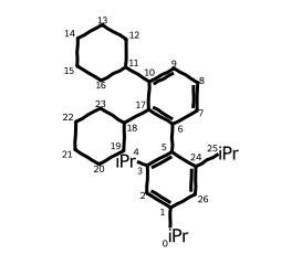 CC(C)c1cc(C(C)C)c(-c2cccc(C3CCCCC3)c2C2CCCCC2)c(C(C)C)c1